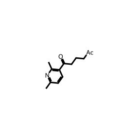 CC(=O)CCCC(=O)c1ccc(C)nc1C